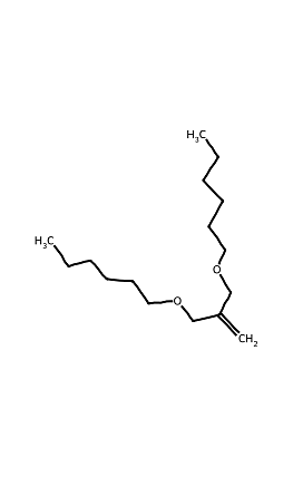 C=C(COCCCCCC)COCCCCCC